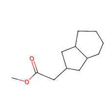 COC(=O)CC1CC2CCCCC2C1